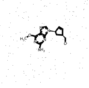 COc1nc(N)nc2c1ncn2[C@H]1C=C[C@@H](C[O])C1